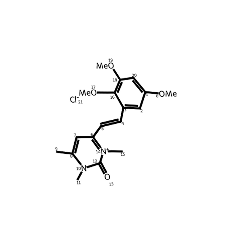 COc1cc(C=Cc2cc(C)n(C)c(=O)[n+]2C)c(OC)c(OC)c1.[Cl-]